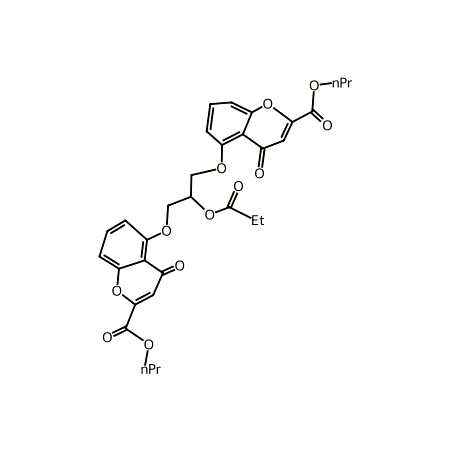 CCCOC(=O)c1cc(=O)c2c(OCC(COc3cccc4oc(C(=O)OCCC)cc(=O)c34)OC(=O)CC)cccc2o1